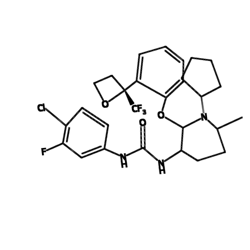 CC1CCC(NC(=O)Nc2ccc(Cl)c(F)c2)C(Oc2ccccc2[C@@]2(C(F)(F)F)CCO2)N1C1CCCC1